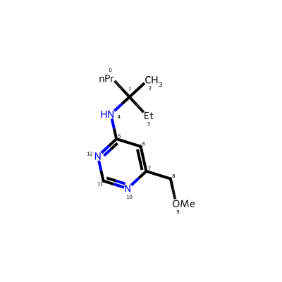 CCCC(C)(CC)Nc1cc(COC)ncn1